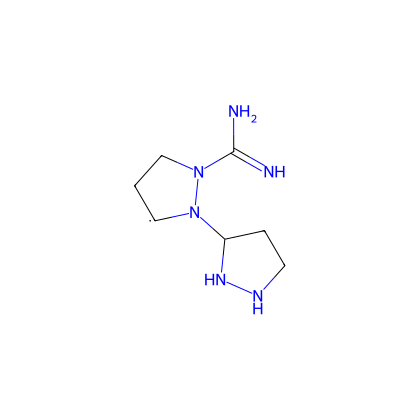 N=C(N)N1CC[CH]N1C1CCNN1